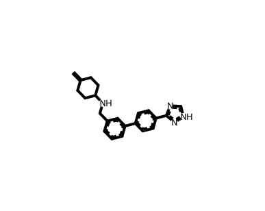 C=C1CCC(NCc2cccc(-c3ccc(-c4nc[nH]n4)cc3)c2)CC1